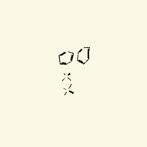 O=P(O)(O)OP(=O)(O)O.c1ccncc1.c1ccncc1